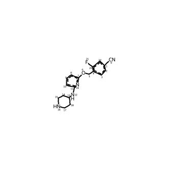 N#Cc1ccc(COc2cccc(NC3CCNCC3)n2)c(F)c1